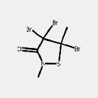 CN1SC(C)(Br)C(Br)(Br)C1=O